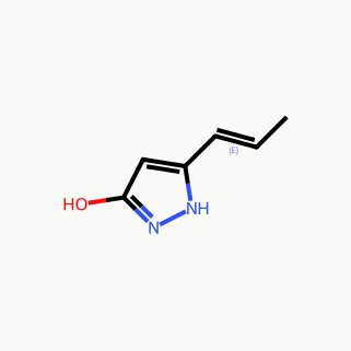 C/C=C/c1cc(O)n[nH]1